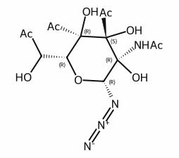 CC(=O)N[C@]1(O)[C@H](N=[N+]=[N-])O[C@H](C(O)C(C)=O)[C@](O)(C(C)=O)[C@@]1(O)C(C)=O